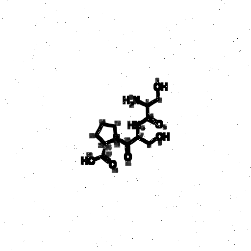 NC(CO)C(=O)NC(CO)C(=O)N1CCC[C@H]1C(=O)O